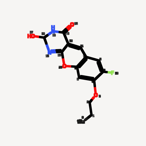 CC(C)(C)CCOc1cc2c(cc1F)C=C1C(=O)NC(O)N=C1O2